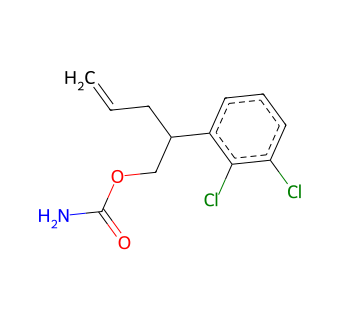 C=CCC(COC(N)=O)c1cccc(Cl)c1Cl